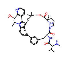 CCn1c(-c2cccnc2[C@H](C)OC)c2c3cc(ccc31)-c1cccc(c1)C[C@H](NC(=O)C(NC)C(C)C)C(=O)N1CCC[C@H](N1)C(=O)OCC(C)(C)C2